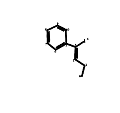 CC/C=C(\I)c1ccccc1